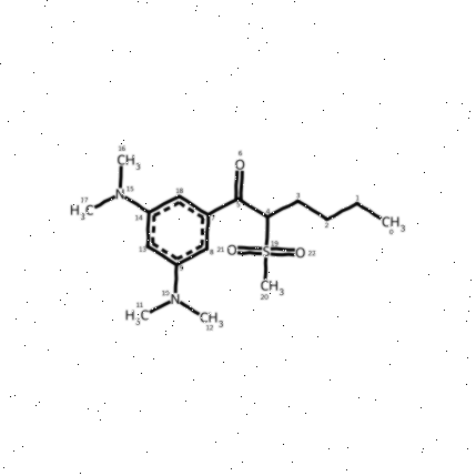 CCCCC(C(=O)c1cc(N(C)C)cc(N(C)C)c1)S(C)(=O)=O